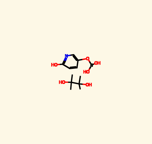 CC(C)(O)C(C)(C)O.OB(O)Oc1ccc(O)nc1